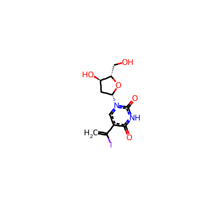 C=C(I)c1cn([C@@H]2C[C@@H](O)[C@H](CO)O2)c(=O)[nH]c1=O